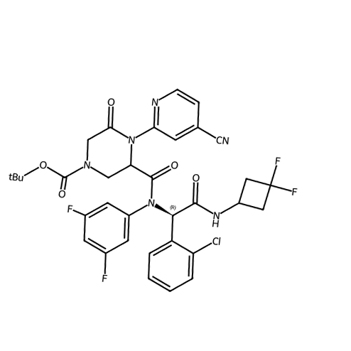 CC(C)(C)OC(=O)N1CC(=O)N(c2cc(C#N)ccn2)C(C(=O)N(c2cc(F)cc(F)c2)[C@@H](C(=O)NC2CC(F)(F)C2)c2ccccc2Cl)C1